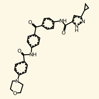 O=C(Nc1ccc(C(=O)c2ccc(NC(=O)c3cc(C4CC4)n[nH]3)cc2)cc1)c1ccc(N2CCOCC2)cc1